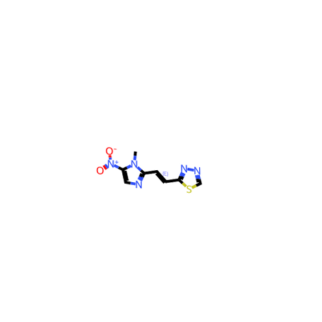 Cn1c([N+](=O)[O-])cnc1/C=C/c1nncs1